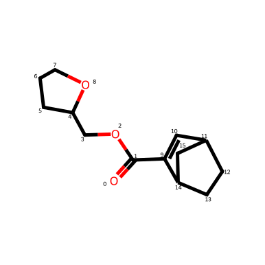 O=C(OCC1CCCO1)C1=CC2CCC1C2